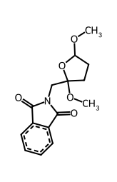 COC1CCC(CN2C(=O)c3ccccc3C2=O)(OC)O1